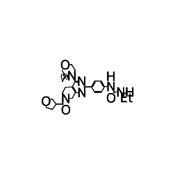 CCNC(=O)Nc1ccc(-c2nc3c(c(N4CCOC[C@@H]4C)n2)CCN(C(=O)C2CCOC2)C3)cc1